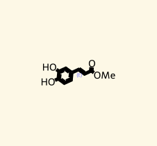 COC(=O)/C=C/c1ccc(O)c(O)c1